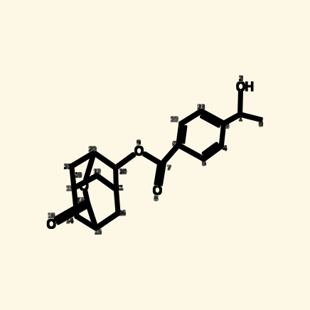 CC(O)c1ccc(C(=O)OC2C3CC4CC(C3)C(=O)OC2C4)cc1